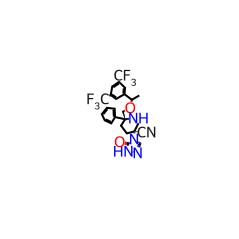 CC(OC[C@]1(c2ccccc2)CC[C@](C#N)(n2cn[nH]c2=O)CN1)c1cc(C(F)(F)F)cc(C(F)(F)F)c1